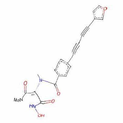 CNC(=O)[C@@H](C(=O)NO)N(C)C(=O)c1ccc(C#CC#Cc2ccoc2)cc1